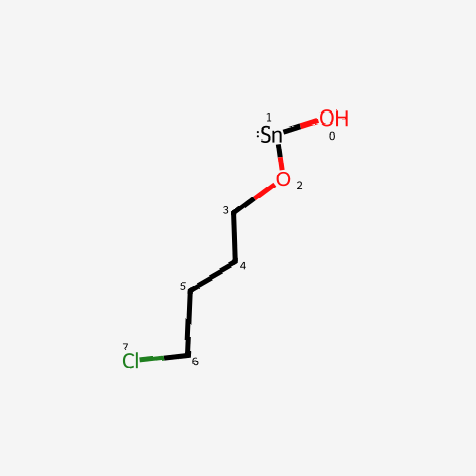 [OH][Sn][O]CCCCCl